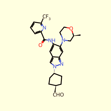 C[C@H]1CN(c2cc3nn([C@H]4CC[C@H](C=O)CC4)cc3cc2NC(=O)c2cccc(C(F)(F)F)n2)CCO1